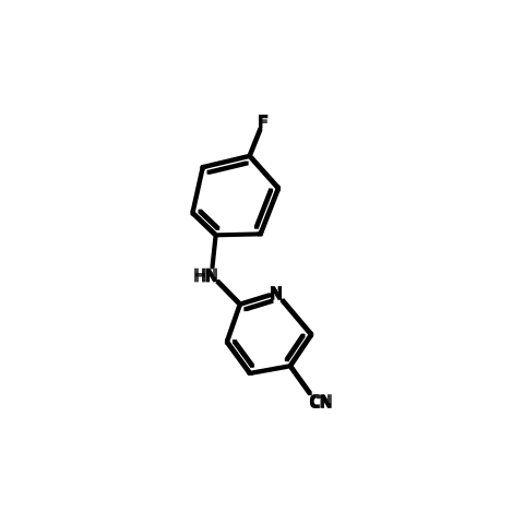 N#Cc1ccc(Nc2ccc(F)cc2)nc1